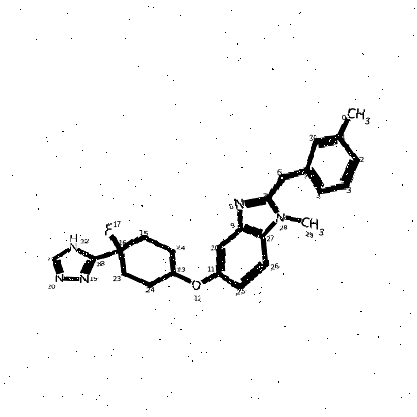 Cc1cccc(Cc2nc3cc(OC4CCC(F)(c5nnc[nH]5)CC4)ccc3n2C)c1